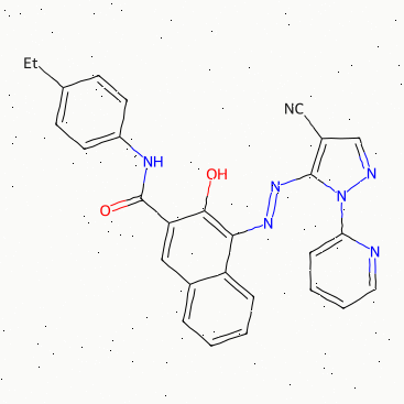 CCc1ccc(NC(=O)c2cc3ccccc3c(/N=N/c3c(C#N)cnn3-c3ccccn3)c2O)cc1